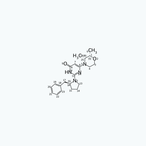 C[C@@H]1OCCN(c2cc(=O)[nH]c(N3CCC[C@H]3Cc3ccccc3)n2)[C@@H]1C